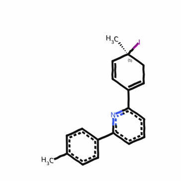 Cc1ccc(-c2cccc(C3=CC[C@](C)(I)C=C3)n2)cc1